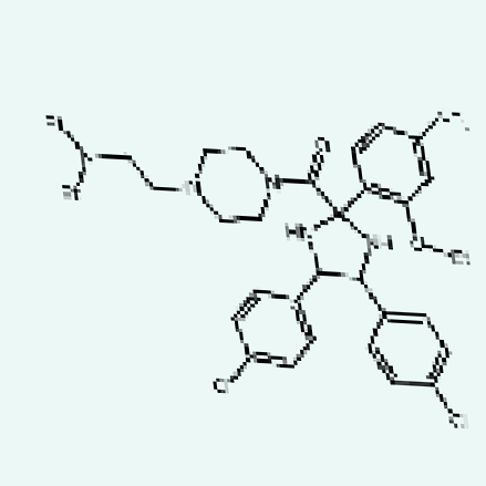 CCOc1cc(C(F)(F)F)ccc1C1(C(=O)N2CCN(CCN(CC)CC)CC2)NC(c2ccc(Cl)cc2)C(c2ccc(Cl)cc2)N1